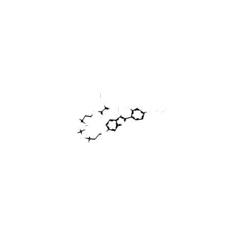 C=C(C)C(=O)OCCC(F)(F)OC(F)(F)OC(F)(F)CCSc1ccc2cc(-c3ccc(CCCCC)cc3CC)oc2c1